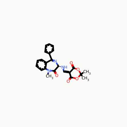 CN1C(=O)[C@@H](NC=C2C(=O)OC(C)(C)OC2=O)N=C(c2ccccc2)c2ccccc21